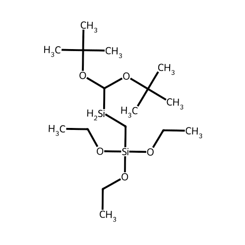 CCO[Si](C[SiH2]C(OC(C)(C)C)OC(C)(C)C)(OCC)OCC